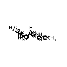 CN1CCC(NC(=O)c2cnn3ccc(-c4c[nH]c5nc(Nc6ccnc(N7CCN(C)CC7)c6)ncc45)cc23)CC1